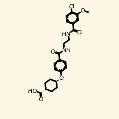 COc1cc(C(=O)NCCNC(=O)c2ccc(O[C@H]3CC[C@@H](C(=O)O)CC3)cc2)ccc1Cl